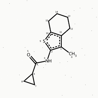 Cc1c(NC(=O)C2CC2)sc2c1CCCC2